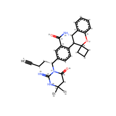 C#CCC[C@H](c1ccc(C2Cc3ccccc3OC23CCC3)c(C(N)=O)c1)N1C(=N)NC(CC)(CC)CC1=O